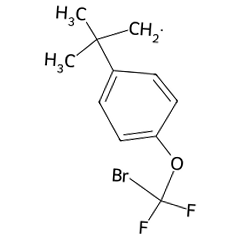 [CH2]C(C)(C)c1ccc(OC(F)(F)Br)cc1